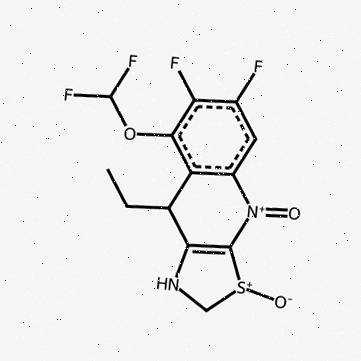 CCC1C2=C([N+](=O)c3cc(F)c(F)c(OC(F)F)c31)[S+]([O-])CN2